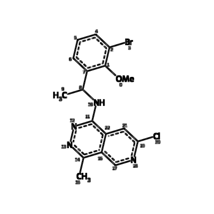 COc1c(Br)cccc1C(C)Nc1nnc(C)c2cnc(Cl)cc12